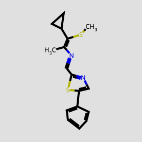 CS/C(=C(C)\N=C\c1ncc(-c2ccccc2)s1)C1CC1